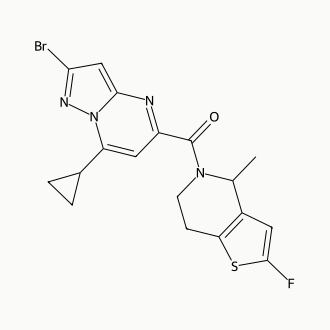 CC1c2cc(F)sc2CCN1C(=O)c1cc(C2CC2)n2nc(Br)cc2n1